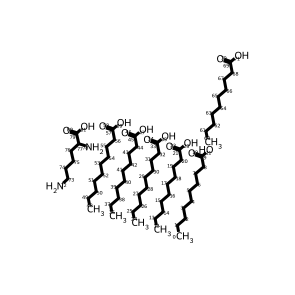 CCCCCCCCCC(=O)O.CCCCCCCCCC(=O)O.CCCCCCCCCC(=O)O.CCCCCCCCCC(=O)O.CCCCCCCCCC(=O)O.CCCCCCCCCC(=O)O.NCCCCC(N)C(=O)O